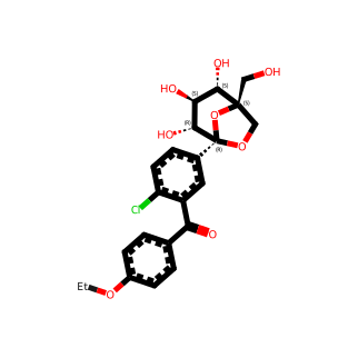 CCOc1ccc(C(=O)c2cc([C@@]34OC[C@](CO)(O3)[C@@H](O)[C@H](O)[C@H]4O)ccc2Cl)cc1